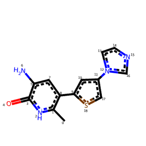 Cc1[nH]c(=O)c(N)cc1-c1cc(-n2ccnc2)cs1